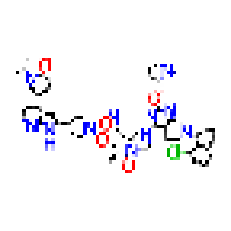 C=C(COC(=O)N1CCC(c2cc3c(-c4ccc(=O)n(C(C)C)c4)ccnc3[nH]2)CC1)C(=O)N1CCN(c2nc(OC[C@@H]3CCCN3C)nc3c2CCN(c2cccc4cccc(Cl)c24)C3)C[C@@H]1CC#N